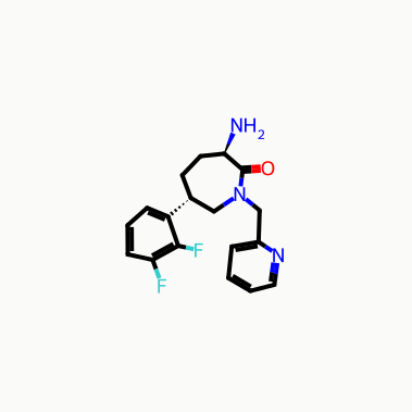 N[C@@H]1CC[C@@H](c2cccc(F)c2F)CN(Cc2ccccn2)C1=O